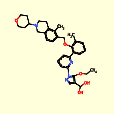 CCOc1c(C(O)O)cnn1-c1cccc(-c2cccc(C)c2OCc2ccc3c(c2C)CCN(C2CCOCC2)C3)n1